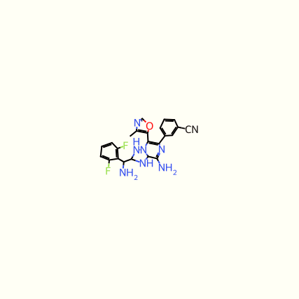 Cc1ncoc1C1=C(c2cccc(C#N)c2)N=C(N)C2NC(C(N)c3c(F)cccc3F)NN12